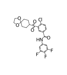 O=C(Nc1cc(F)c(F)c(F)c1)c1ccc(Cl)c(S(=O)(=O)C2CCC3(CC2)OCCO3)c1